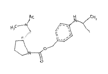 CC(=O)N(C)C[C@H]1CCCN1C(=O)OCc1ccc(NC(C)I)cc1